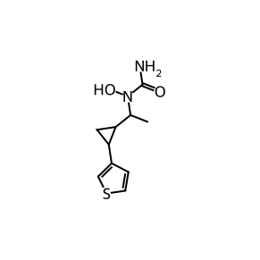 CC(C1CC1c1ccsc1)N(O)C(N)=O